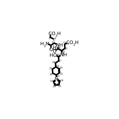 NC(O)[C@H](CCC(=O)O)NC(O)C(CCC(=O)O)NC(O)CCC1C=CC(n2cccc2)CC1